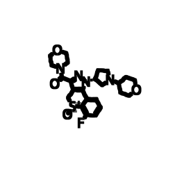 O=C(c1nn([C@@H]2CCN(C3CCOCC3)C2)c2c1C[S+]([O-])c1c(F)cccc1-2)N1CCOCC1